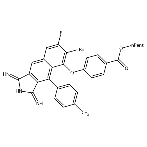 CCCCCOC(=O)c1ccc(Oc2c(C(C)(C)C)c(F)cc3cc4c(c(-c5ccc(C(F)(F)F)cc5)c23)C(=N)NC4=N)cc1